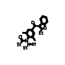 CCC(=O)N(c1c(C)cc(C(=O)c2c(CC)oc3ccccc23)cc1C)N(CC)CC